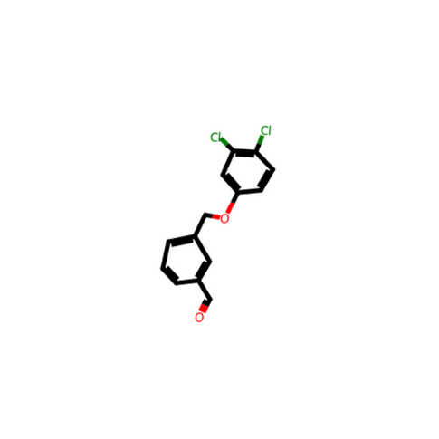 O=Cc1cccc(COc2ccc(Cl)c(Cl)c2)c1